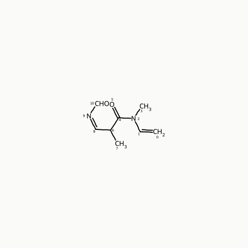 C=CN(C)C(=O)C(C)/C=N\C=O